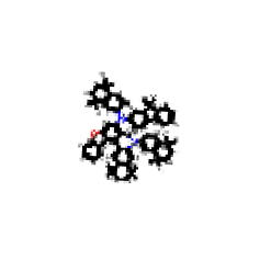 Cc1cc2c(cc1N1c3cc4c(cc3B3c5c1cc1oc6ccccc6c1c5-c1cc5c(cc1N3c1ccc3c(c1)C(C)(C)CCC3(C)C)C(C)(C)CCC5(C)C)-c1ccccc1C4(C)C)C(C)(C)CCC2(C)C